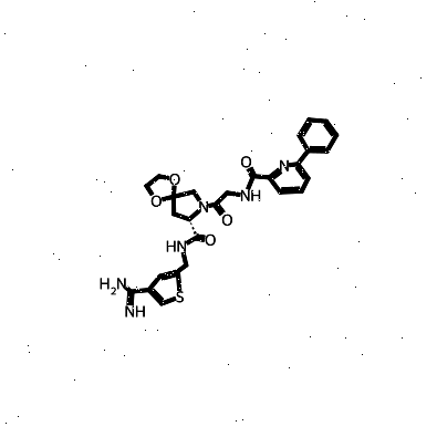 N=C(N)c1csc(CNC(=O)[C@@H]2CC3(CN2C(=O)CNC(=O)c2cccc(-c4ccccc4)n2)OCCO3)c1